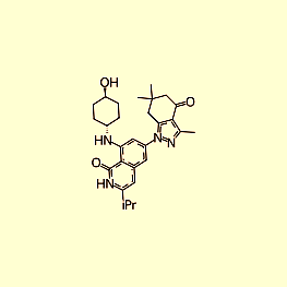 Cc1nn(-c2cc(N[C@H]3CC[C@H](O)CC3)c3c(=O)[nH]c(C(C)C)cc3c2)c2c1C(=O)CC(C)(C)C2